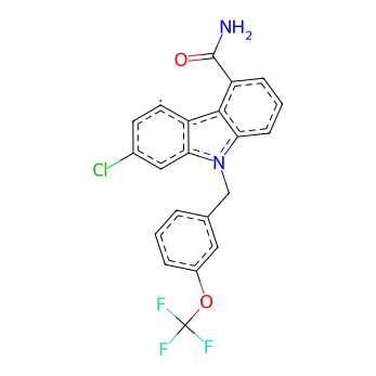 NC(=O)c1cccc2c1c1[c]cc(Cl)cc1n2Cc1cccc(OC(F)(F)F)c1